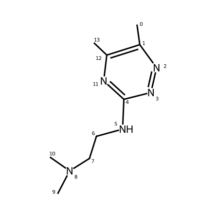 Cc1nnc(NCCN(C)C)nc1C